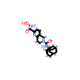 O=C(NO)c1ccc2c(n1)CCN(C(=O)NC13CC4CC(CC(C4)C1)C3)C2